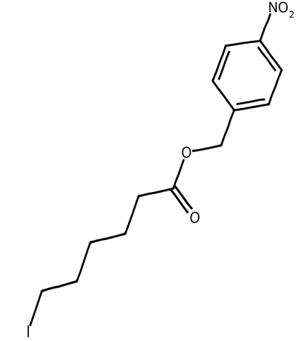 O=C(CCCCCI)OCc1ccc([N+](=O)[O-])cc1